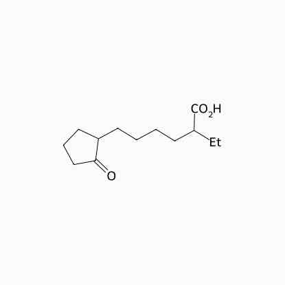 CCC(CCCCC1CCCC1=O)C(=O)O